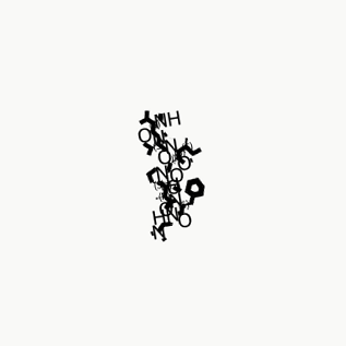 CC[C@H](C)[C@@H]([C@@H](CC(=O)N1CCC[C@H]1[C@H](OC)[C@@H](C)C(=O)N[C@@H](Cc1ccccc1)C(=O)NCCN(C)C)OC)N(C)C(=O)[C@H](C(C)C)N(C)C(=O)[C@@H](NC)C(C)C